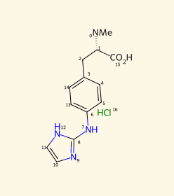 CN[C@@H](Cc1ccc(Nc2ncc[nH]2)cc1)C(=O)O.Cl